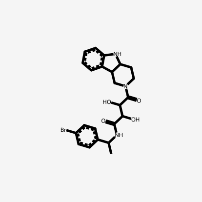 CC(NC(=O)C(O)C(O)C(=O)N1CCC2Nc3ccccc3C2C1)c1ccc(Br)cc1